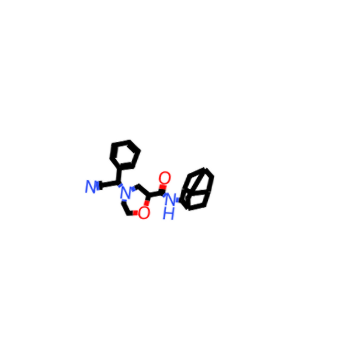 N#CC(c1ccccc1)N1CCOC(C(=O)NC2C3CC4CC(C3)CC2C4)C1